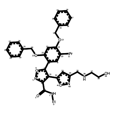 CCNC(=O)c1noc(-c2cc(C(C)C)c(OCc3ccccc3)cc2OCc2ccccc2)c1-c1cc(CNCCO)no1